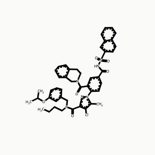 CCCCN(Cc1cccc(OC(C)C)c1)C(=O)c1nn(-c2ccc(C(=O)NS(=O)(=O)c3ccc4ccccc4c3)cc2C(=O)N2CCc3ccccc3C2)c(C)c1Cl